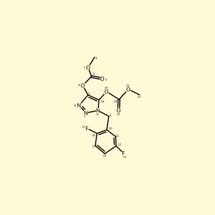 COC(=O)Oc1nnn(Cc2cc(F)ccc2F)c1OC(=O)OC